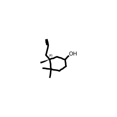 C=CC[C@]1(C)CC(O)CCC1(C)C